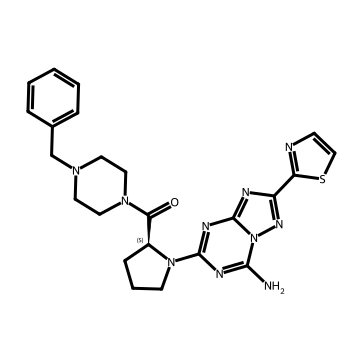 Nc1nc(N2CCC[C@H]2C(=O)N2CCN(Cc3ccccc3)CC2)nc2nc(-c3nccs3)nn12